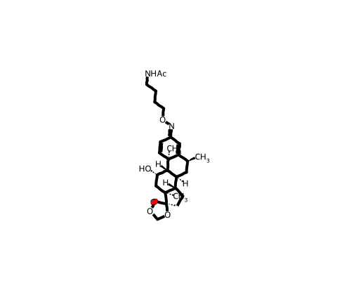 CC(=O)NCCCCO/N=C1\C=C[C@@]2(C)C(=C1)[C@@H](C)C[C@@H]1[C@@H]2[C@@H](O)C[C@@]2(C)[C@H]1CC[C@@]21OCOC12COCO2